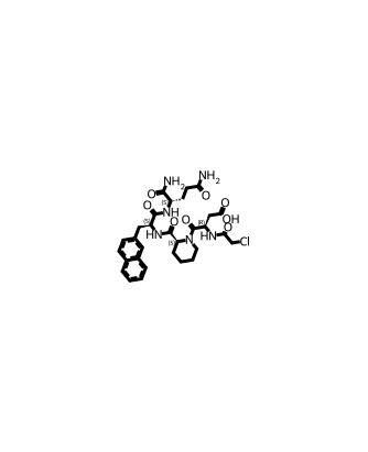 NC(=O)CC[C@H](NC(=O)[C@H](Cc1ccc2ccccc2c1)NC(=O)[C@@H]1CCCCN1C(=O)[C@@H](CC(=O)O)NC(=O)CCl)C(N)=O